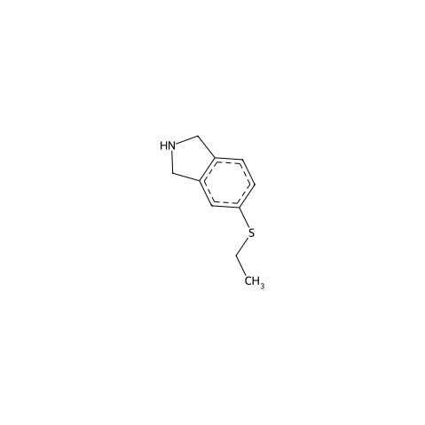 CCSc1ccc2c(c1)CNC2